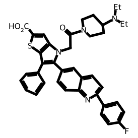 CCN(CC)C1CCN(C(=O)Cn2c(-c3ccc4nc(-c5ccc(F)cc5)ccc4c3)c(-c3ccccc3)c3sc(C(=O)O)cc32)CC1